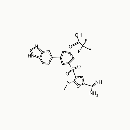 CSc1sc(C(=N)N)cc1S(=O)(=O)c1cccc(-c2ccc3[nH]cnc3c2)c1.O=C(O)C(F)(F)F